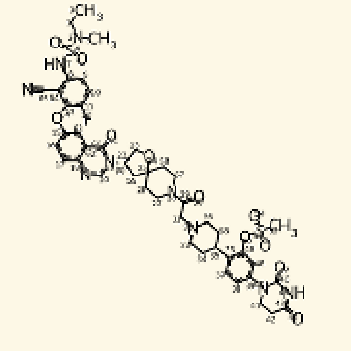 CCN(C)S(=O)(=O)Nc1ccc(F)c(Oc2ccc3ncn([C@@H]4COC5(CCN(C(=O)CN6CCC(c7ccc(N8CCC(=O)NC8=O)cc7OS(C)(=O)=O)CC6)CC5)C4)c(=O)c3c2)c1C#N